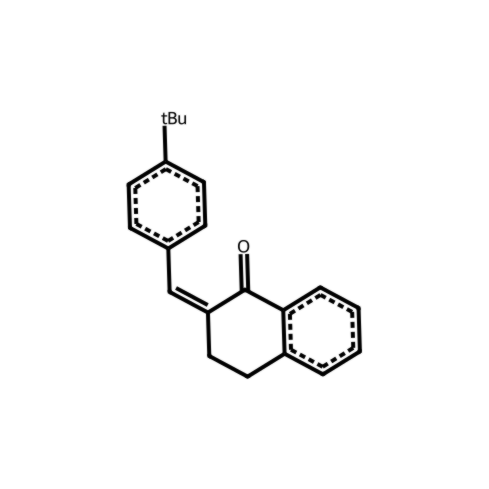 CC(C)(C)c1ccc(/C=C2/CCc3ccccc3C2=O)cc1